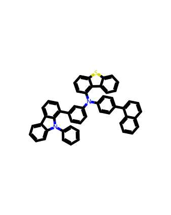 c1ccc(-n2c3ccccc3c3cccc(-c4cccc(N(c5ccc(-c6cccc7ccccc67)cc5)c5cccc6sc7ccccc7c56)c4)c32)cc1